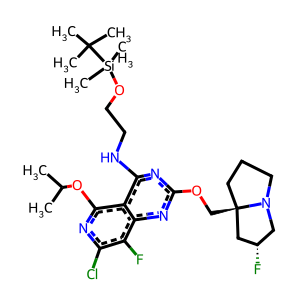 CC(C)Oc1nc(Cl)c(F)c2nc(OC[C@@]34CCCN3C[C@H](F)C4)nc(NCCO[Si](C)(C)C(C)(C)C)c12